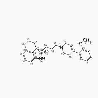 COc1ccccc1C1=CCN(CCCCC23CCCc4cccc(c42)NC3=O)CC1